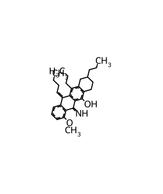 CCC/C=C1/c2cccc(OC)c2C(=N)c2c(O)c3c(c(CCC)c21)CC(CCC)CC3